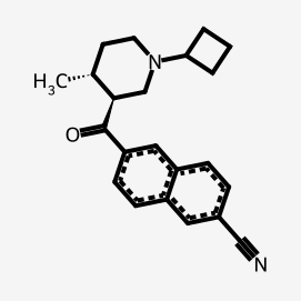 C[C@@H]1CCN(C2CCC2)C[C@H]1C(=O)c1ccc2cc(C#N)ccc2c1